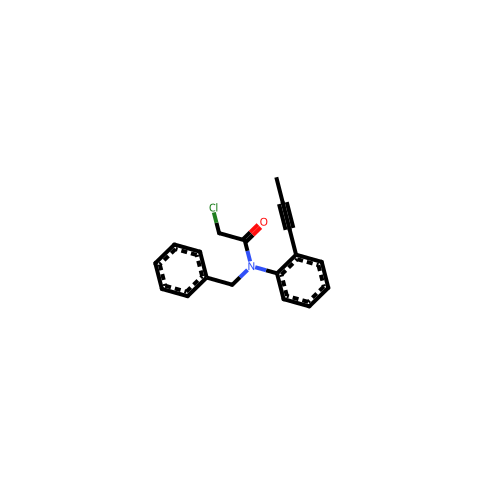 CC#Cc1ccccc1N(Cc1ccccc1)C(=O)CCl